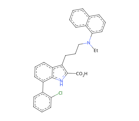 CCN(CCCc1c(C(=O)O)[nH]c2c(-c3ccccc3Cl)cccc12)c1cccc2ccccc12